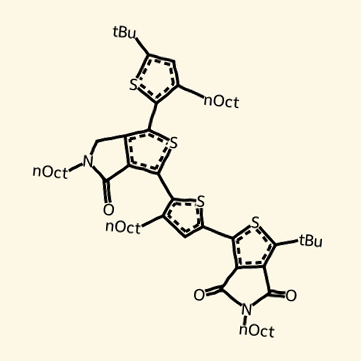 CCCCCCCCc1cc(C(C)(C)C)sc1-c1sc(-c2sc(-c3sc(C(C)(C)C)c4c3C(=O)N(CCCCCCCC)C4=O)cc2CCCCCCCC)c2c1CN(CCCCCCCC)C2=O